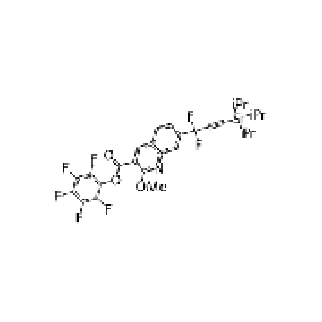 COc1nc2cc(C(F)(F)C#C[Si](C(C)C)(C(C)C)C(C)C)ccc2cc1C(=O)Oc1c(F)c(F)c(F)c(F)c1F